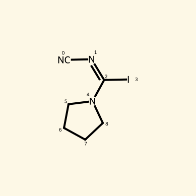 N#C/N=C(/I)N1CCCC1